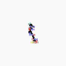 C[C@H](NC(=O)c1ccnc(CNC(=O)CCC(=O)NC(CS)C(=O)O)c1)C(=O)N1CC(F)(F)C[C@H]1C#N